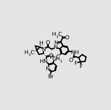 CC(=O)c1nn(CC(=O)N2[C@H](C(=O)Nc3nc(Br)ccc3C)C[C@@]3(C)C[C@@H]23)c2c(C)cc(NC(=O)C3CCCC3(F)F)cc12